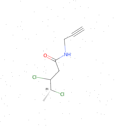 C#CCNC(=O)CC(Cl)[C@@H](C)Cl